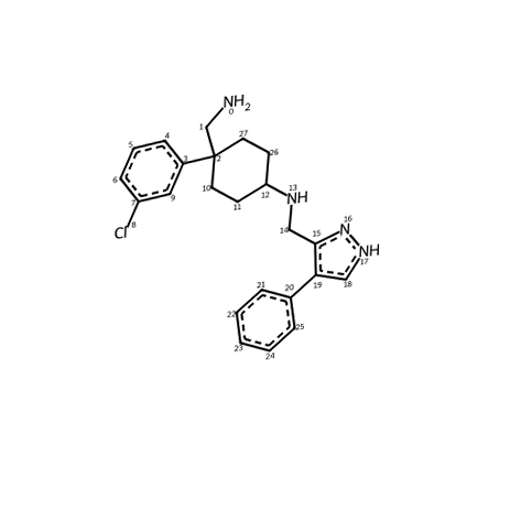 NCC1(c2cccc(Cl)c2)CCC(NCc2n[nH]cc2-c2ccccc2)CC1